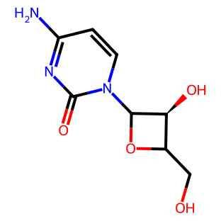 Nc1ccn(C2OC(CO)[C@@H]2O)c(=O)n1